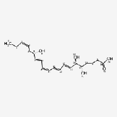 CC/C=C\C[C@H](O)/C=C/C=C\C=C\C=C\[C@@H](O)[C@@H](O)CCCC(=O)O